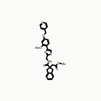 COc1cc(OCc2ccncc2)ccc1-c1csc(CNC(=O)C2(CC(=O)OC(C)(C)C)Cc3ccccc3C2)n1